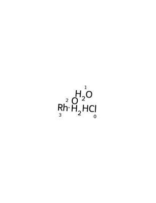 Cl.O.O.[Rh]